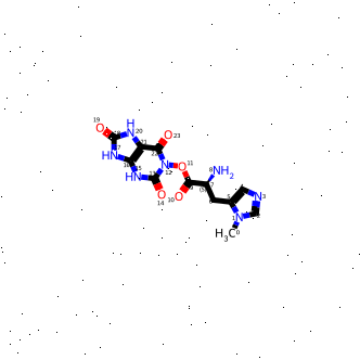 Cn1cncc1C[C@H](N)C(=O)On1c(=O)[nH]c2[nH]c(=O)[nH]c2c1=O